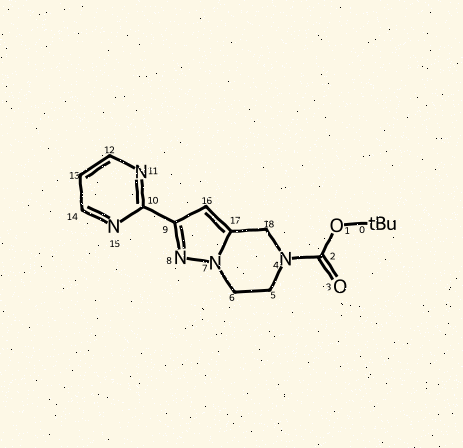 CC(C)(C)OC(=O)N1CCn2nc(-c3ncccn3)cc2C1